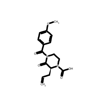 C=CC[C@H]1C(=O)N(C(=O)c2ccc(OC)cc2)CCN1C(=O)O